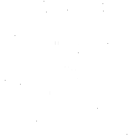 CCCC(=O)CC.O=CC(O)C(O)C(O)CO